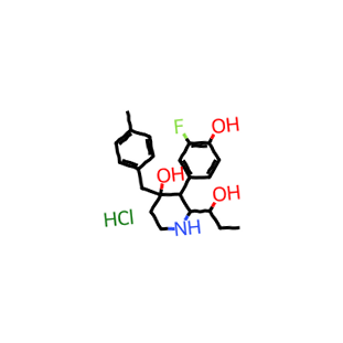 CCC(O)C1NCCC(O)(Cc2ccc(C)cc2)C1c1ccc(O)c(F)c1.Cl